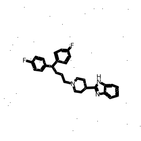 Fc1ccc(C(CCCN2CCC(c3nc4ccccc4[nH]3)CC2)c2ccc(F)cc2)cc1